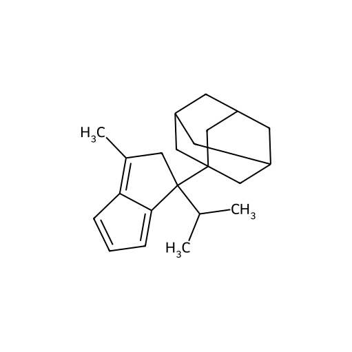 CC1=C2C=CC=C2C(C(C)C)(C23CC4CC(CC(C4)C2)C3)C1